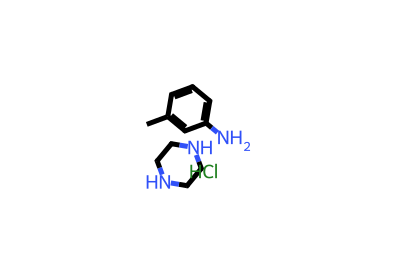 C1CNCCN1.Cc1cccc(N)c1.Cl